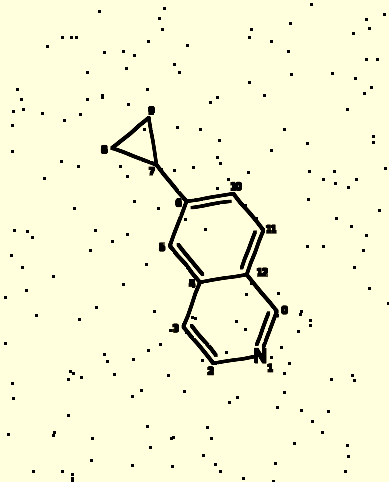 [c]1nccc2cc(C3CC3)ccc12